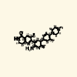 CN1CCN(c2ccc(-c3cc(-c4cc5c(cc4F)C(=O)NCC5)c(N)nc3F)cc2F)CC1